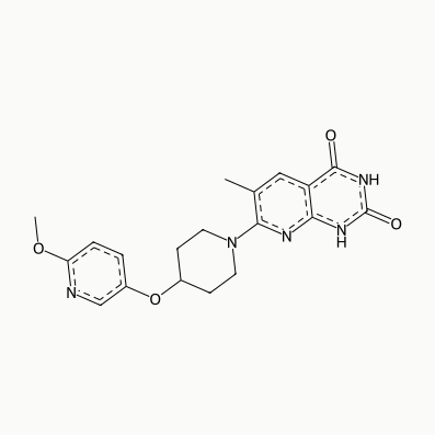 COc1ccc(OC2CCN(c3nc4[nH]c(=O)[nH]c(=O)c4cc3C)CC2)cn1